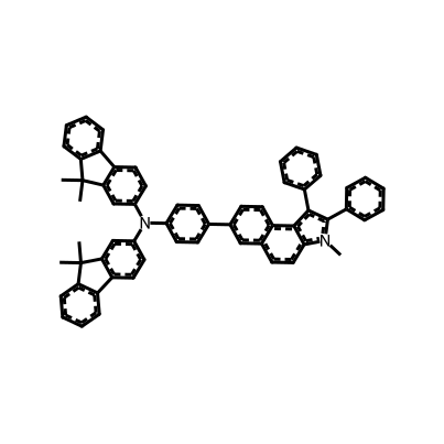 Cn1c(-c2ccccc2)c(-c2ccccc2)c2c3ccc(-c4ccc(N(c5ccc6c(c5)C(C)(C)c5ccccc5-6)c5ccc6c(c5)C(C)(C)c5ccccc5-6)cc4)cc3ccc21